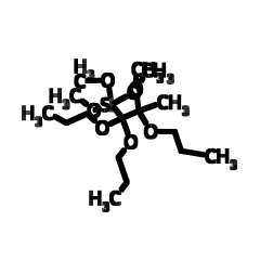 CCCOC(C)(OC)C(OCCC)(OCCC)[Si](OC)(OC)OC